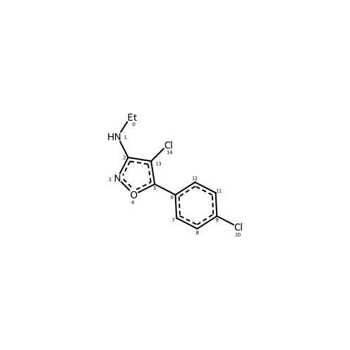 CCNc1noc(-c2ccc(Cl)cc2)c1Cl